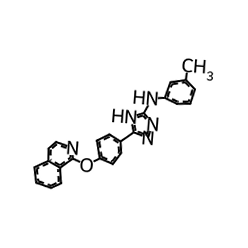 Cc1cccc(Nc2nnc(-c3ccc(Oc4nccc5ccccc45)cc3)[nH]2)c1